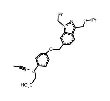 CC#C[C@@H](CC(=O)O)c1ccc(OCc2ccc3c(COC(C)C)nn(CC(C)C)c3c2)cc1